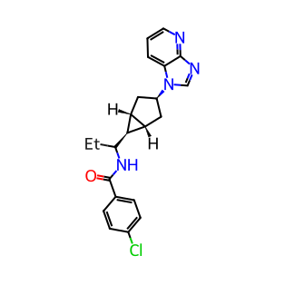 CCC(NC(=O)c1ccc(Cl)cc1)[C@H]1[C@@H]2C[C@@H](n3cnc4ncccc43)C[C@@H]21